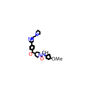 COc1ccc(N(C)C(=O)N2CCC(C(=O)c3ccc(-c4cnn(CCN5CCCC5)c4)cc3)CC2)cc1